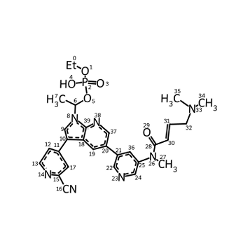 CCOP(=O)(O)OC(C)n1cc(-c2ccnc(C#N)c2)c2cc(-c3cncc(N(C)C(=O)C=CCN(C)C)c3)cnc21